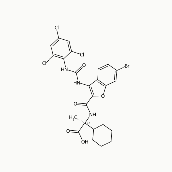 C[C@@](NC(=O)c1oc2cc(Br)ccc2c1NC(=O)Nc1c(Cl)cc(Cl)cc1Cl)(C(=O)O)C1CCCCC1